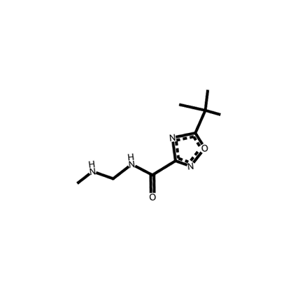 CNCNC(=O)c1noc(C(C)(C)C)n1